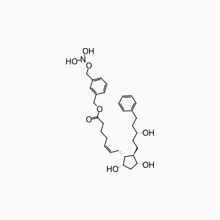 O=C(CCC/C=C\C[C@@H]1[C@@H](CC[C@@H](O)CCc2ccccc2)[C@H](O)C[C@@H]1O)OCc1cccc(CON(O)O)c1